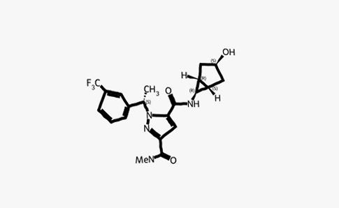 CNC(=O)c1cc(C(=O)N[C@H]2[C@@H]3C[C@@H](O)C[C@@H]32)n([C@@H](C)c2cccc(C(F)(F)F)c2)n1